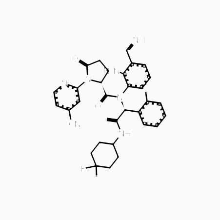 N#Cc1ccnc(N2C(=O)CC[C@H]2C(=O)N(c2cccc(C=N)c2N)[C@H](C(=O)NC2CCC(F)(F)CC2)c2ccccc2Cl)c1